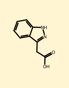 O=C(O)Cc1n[nH]c2ccccc12